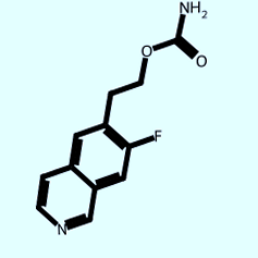 NC(=O)OCCc1cc2ccncc2cc1F